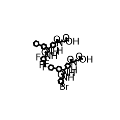 O=C(O)CCNC(=O)c1ccc(C(NC(=O)Nc2cc(F)cc(C(F)(F)F)c2)c2ccc(C3CCCCC3)cc2)cc1.O=C(O)CCNC(=O)c1ccc(C(NC(=O)Nc2cccc(Br)c2)C2CCC(C3CCCCC3)CC2)cc1